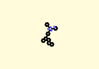 c1ccc(-c2nc(-c3ccc(-c4cc5ccccc5c5c4ccc4c6ccccc6ccc45)cc3)nc(-c3ccccn3)n2)cc1